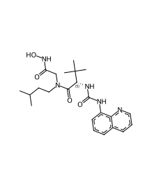 CC(C)CCN(CC(=O)NO)C(=O)[C@@H](NC(=O)Nc1cccc2cccnc12)C(C)(C)C